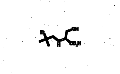 CCC(C)(C)CN[C@@H](CO)C(=O)O